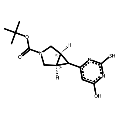 CC(C)(C)OC(=O)N1C[C@@H]2C(c3cc(O)nc(S)n3)[C@@H]2C1